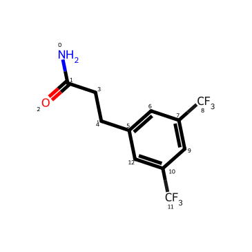 NC(=O)C[CH]c1cc(C(F)(F)F)cc(C(F)(F)F)c1